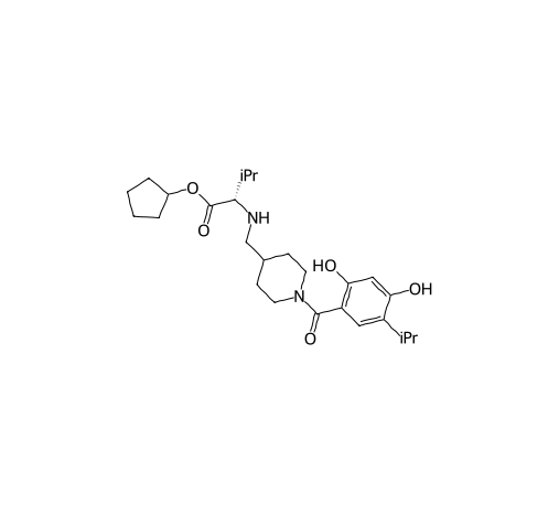 CC(C)c1cc(C(=O)N2CCC(CN[C@H](C(=O)OC3CCCC3)C(C)C)CC2)c(O)cc1O